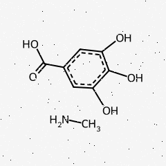 CN.O=C(O)c1cc(O)c(O)c(O)c1